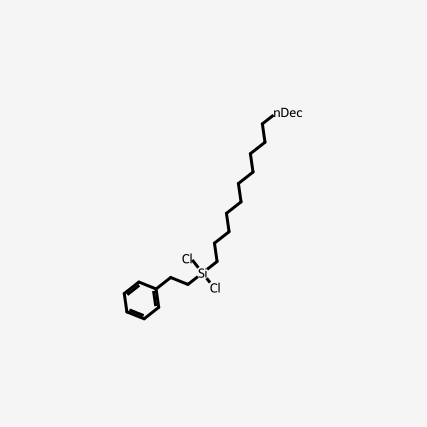 CCCCCCCCCCCCCCCCCCCC[Si](Cl)(Cl)CCc1ccccc1